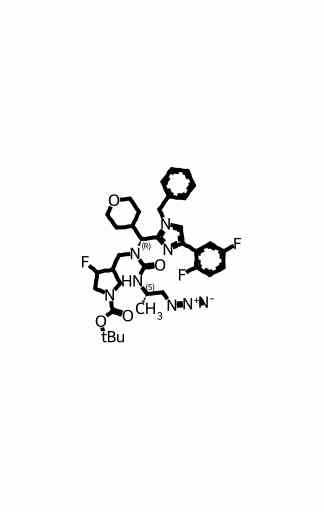 C[C@@H](CN=[N+]=[N-])NC(=O)N(CC1CN(C(=O)OC(C)(C)C)CC1F)[C@@H](c1nc(-c2cc(F)ccc2F)cn1Cc1ccccc1)C1CCOCC1